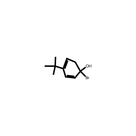 CC(C)(C)C1=CCC(O)(Br)C=C1